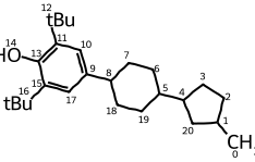 CC1CCC(C2CCC(c3cc(C(C)(C)C)c(O)c(C(C)(C)C)c3)CC2)C1